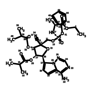 CCOC(=O)[C@H](C)N[P@](=O)(OC[C@@]1(C#N)O[C@@H](c2ccc3c(N)ncnn23)[C@H](OC(=O)C(C)C)[C@@H]1OC(=O)C(C)C)Oc1ccccc1